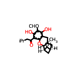 CC(C)CC(=O)c1c(O)c(C=O)c(O)c2c1O[C@@H]1[C@@H]3C[C@H](C[C@]1(C)C2)C3C